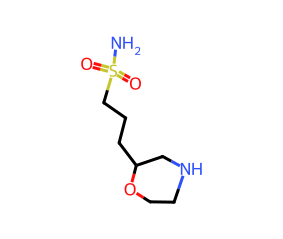 NS(=O)(=O)CCCC1CNCCO1